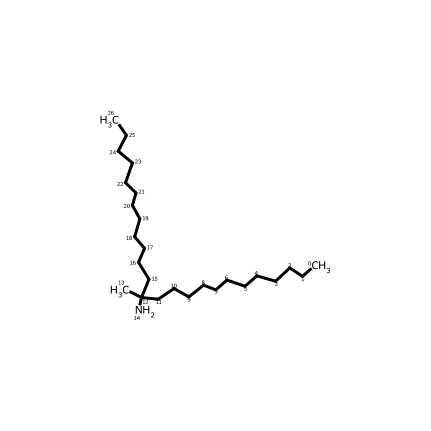 CCCCCCCCCCCCC(C)(N)CCCCCCCCCCCC